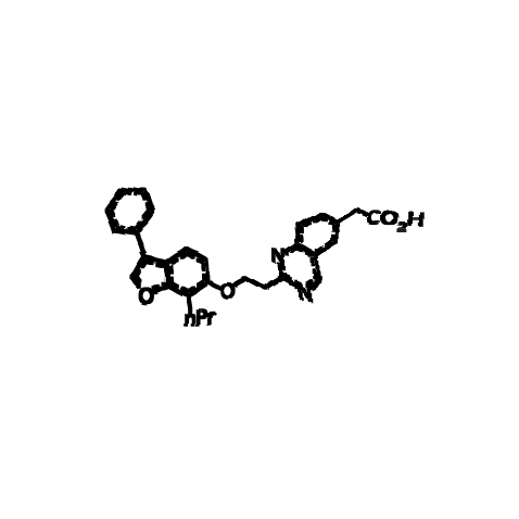 CCCc1c(OCCc2ncc3cc(CC(=O)O)ccc3n2)ccc2c(-c3ccccc3)coc12